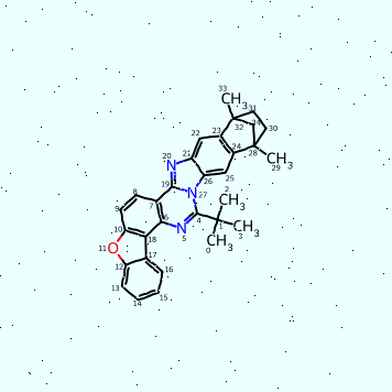 CC(C)(C)c1nc2c(ccc3oc4ccccc4c32)c2nc3cc4c(cc3n12)C1(C)CCC4(C)C1